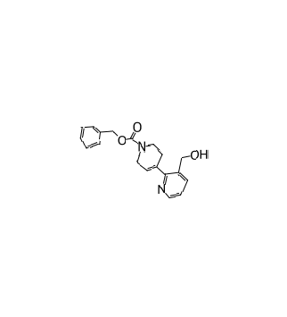 O=C(OCc1ccccc1)N1CC=C(c2ncccc2CO)CC1